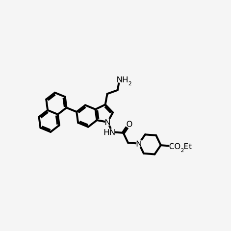 CCOC(=O)C1CCN(CC(=O)Nn2cc(CCN)c3cc(-c4cccc5ccccc45)ccc32)CC1